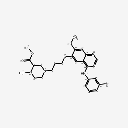 COC(=O)C1CN(CCCOc2cc3c(Nc4cccc(Br)c4)ncnc3cc2OC)CCN1C